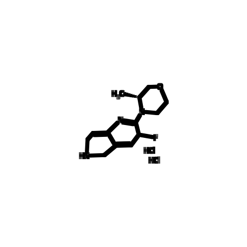 C[C@@H]1COCCN1C1=NC2=CCNCC2=CC1F.Cl.Cl